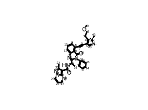 COCCc1c(C#Cc2cccc3nc(C(C)NC(=O)c4c(C)nn5cccnc45)n(-c4ccccc4)c(=O)c23)cnn1C